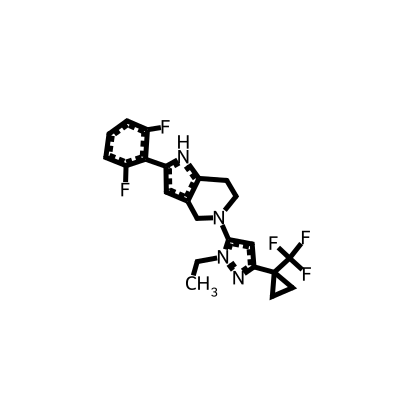 CCn1nc(C2(C(F)(F)F)CC2)cc1N1CCc2[nH]c(-c3c(F)cccc3F)cc2C1